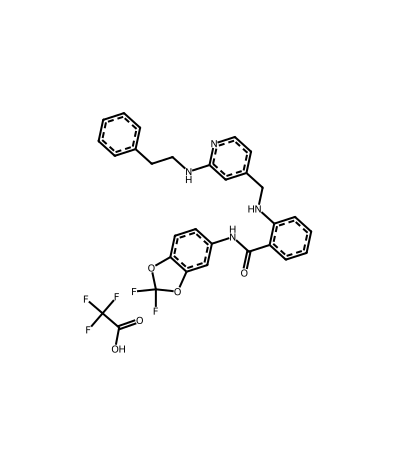 O=C(Nc1ccc2c(c1)OC(F)(F)O2)c1ccccc1NCc1ccnc(NCCc2ccccc2)c1.O=C(O)C(F)(F)F